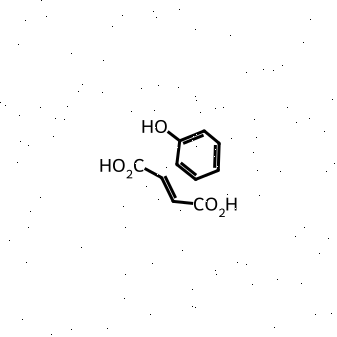 O=C(O)/C=C/C(=O)O.Oc1ccccc1